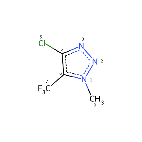 Cn1nnc(Cl)c1C(F)(F)F